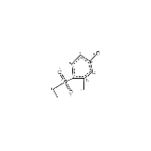 CCS(=O)(=O)c1ccc(Cl)cc1C